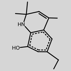 CCc1cc(O)c2c(c1)C(C)=CC(C)(C)N2